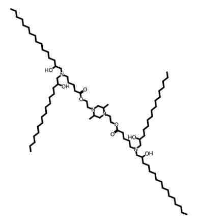 CCCCCCCCCCCCCCC(O)CN(CCCCC(=O)OCCN1CC(C)N(CCOC(=O)CCCCN(CC(O)CCCCCCCCCCCCCC)CC(O)CCCCCCCCCCCCCC)CC1C)CC(O)CCCCCCCCCCCCCC